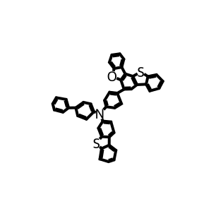 c1ccc(-c2ccc(N(c3ccc(-c4cc5c6ccccc6sc5c5c4oc4ccccc45)cc3)c3ccc4c(c3)sc3ccccc34)cc2)cc1